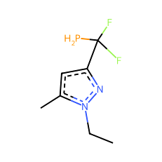 CCn1nc(C(F)(F)P)cc1C